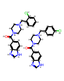 O=C(c1ccc2[nH]cnc2c1)N1CCN(Cc2ccc(Cl)cc2)CC1.O=C(c1ccc2[nH]cnc2c1)N1CCN(Cc2ccccc2Cl)CC1